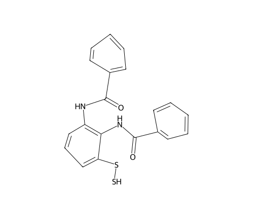 O=C(Nc1cccc(SS)c1NC(=O)c1ccccc1)c1ccccc1